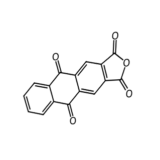 O=c1oc(=O)c2cc3c(=O)c4ccccc4c(=O)c3cc12